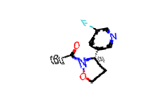 CC(C)(C)C(=O)N1OCC[C@H]1c1cncc(F)c1